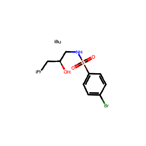 CC[C@H](C)C(NS(=O)(=O)c1ccc(Br)cc1)[C@@H](O)CC(C)C